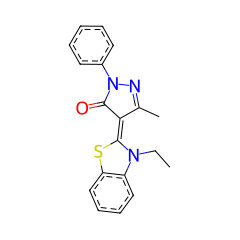 CCN1C(=C2C(=O)N(c3ccccc3)N=C2C)Sc2ccccc21